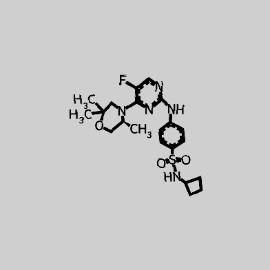 C[C@H]1COC(C)(C)CN1c1nc(Nc2ccc(S(=O)(=O)NC3CCC3)cc2)ncc1F